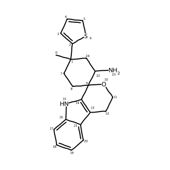 CC1(c2cccs2)CCC2(OCCc3c2[nH]c2ccccc32)C(N)C1